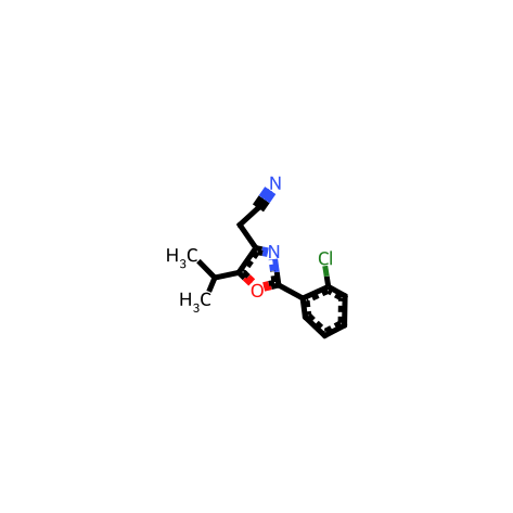 CC(C)c1oc(-c2ccccc2Cl)nc1CC#N